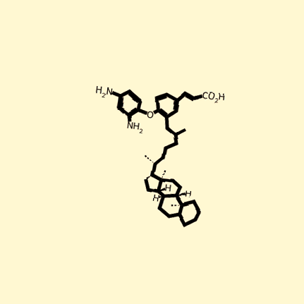 CC(CCC[C@@H](C)[C@H]1CC[C@H]2[C@@H]3CCC4CCCC[C@]4(C)[C@H]3CC[C@]12C)Cc1cc(C=CC(=O)O)ccc1Oc1ccc(N)cc1N